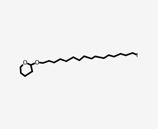 ICCCCCCCCCCCCCCCCOC1CCCCO1